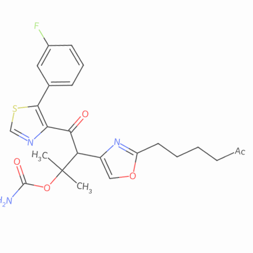 CC(=O)CCCCc1nc(C(C(=O)c2ncsc2-c2cccc(F)c2)C(C)(C)OC(N)=O)co1